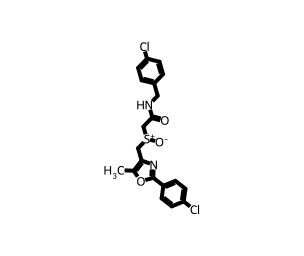 Cc1oc(-c2ccc(Cl)cc2)nc1C[S+]([O-])CC(=O)NCc1ccc(Cl)cc1